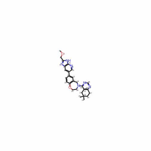 COCc1nc2cc(-c3ccc4c(c3)CN(c3ncnc5c3CC(C)(C)CC5)CCO4)cnc2[nH]1